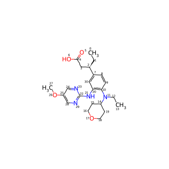 CC[C@H](CC(=O)O)c1ccc(N(CC)C2CCOCC2)c(Nc2ncc(OC)cn2)c1